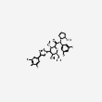 COC1C(C(=O)N(c2cc(Br)cc(Br)c2)[C@H]2CCC[C@@H]2O)OC(CO)C(O)C1n1cc(-c2cc(F)c(F)c(F)c2)nn1